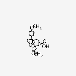 C#CCC1(CC=C)CN(C(=O)O)CCN(C(=O)c2ccc(OC)cc2)C1=O